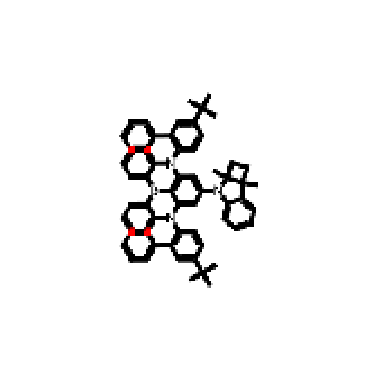 CC(C)(C)c1ccc(N2c3ccccc3B3c4ccccc4N(c4ccc(C(C)(C)C)cc4-c4ccccc4)c4cc(N5c6ccccc6C6(C)CCC56C)cc2c43)c(-c2ccccc2)c1